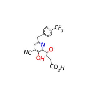 N#Cc1cc(Cc2ccc(C(F)(F)F)cc2)nc(C(=O)CCC(=O)O)c1O